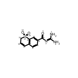 NC(N)=NC(=O)c1ccc2c(c1)S(=O)(=O)CC=C2